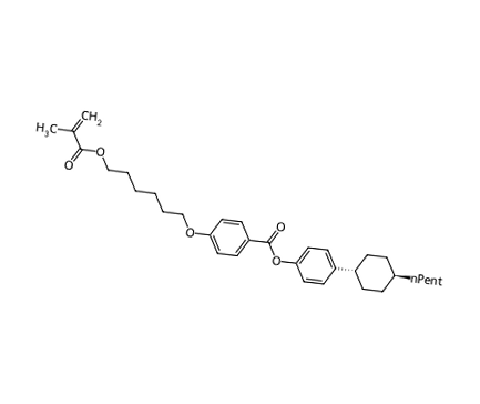 C=C(C)C(=O)OCCCCCCOc1ccc(C(=O)Oc2ccc([C@H]3CC[C@H](CCCCC)CC3)cc2)cc1